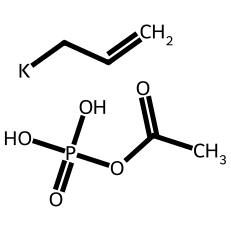 C=C[CH2][K].CC(=O)OP(=O)(O)O